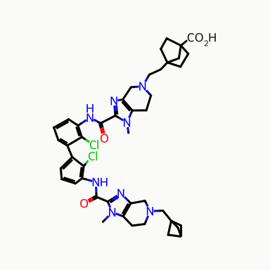 Cn1c(C(=O)Nc2cccc(-c3cccc(NC(=O)c4nc5c(n4C)CCN(CC46CC(C4)C6)C5)c3Cl)c2Cl)nc2c1CCN(CCC13CCC(C(=O)O)(CC1)C3)C2